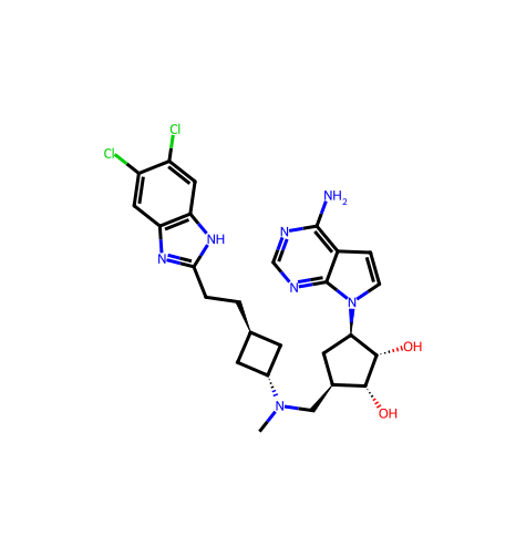 CN(C[C@H]1C[C@@H](n2ccc3c(N)ncnc32)[C@H](O)[C@@H]1O)[C@H]1C[C@H](CCc2nc3cc(Cl)c(Cl)cc3[nH]2)C1